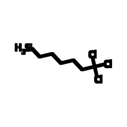 [SiH3]CCCCCC(Cl)(Cl)Cl